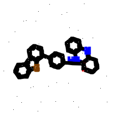 C1=CC2=Nc3ccccc3NC23C=C(c2ccc(-c4cccc5c4sc4ccccc45)cc2)C=CC3=C1